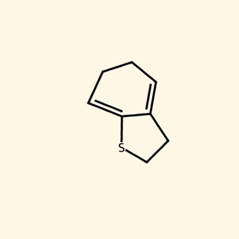 C1=C2CCSC2=CCC1